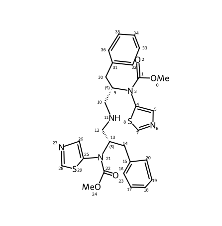 COC(=O)N(c1cncs1)[C@H](CNC[C@H](Cc1ccccc1)N(C(=O)OC)c1cncs1)Cc1ccccc1